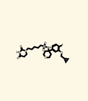 O=C1CCN(CCCCCS(=O)(=O)NC2(c3ccc(F)c(OCC4CC4)c3)CCOCC2)C(=O)N1